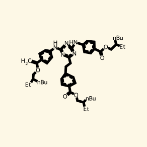 C=C(OCC(CC)CCCC)c1ccc(Nc2nc(CCc3ccc(C(=O)OCC(CC)CCCC)cc3)nc(Nc3ccc(C(=O)OCC(CC)CCCC)cc3)n2)cc1